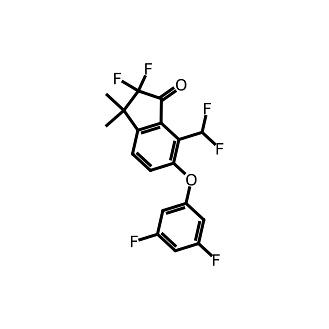 CC1(C)c2ccc(Oc3cc(F)cc(F)c3)c(C(F)F)c2C(=O)C1(F)F